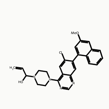 C=CC(O)N1CCN(c2ncnc3cc(-c4cc(OC)cc5ccccc45)c(Cl)cc23)CC1